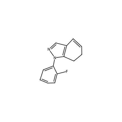 Fc1ccccc1-n1ncc2c1CCC=C2